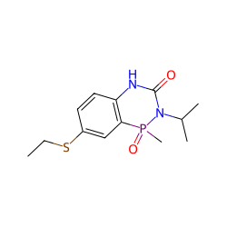 CCSc1ccc2c(c1)P(C)(=O)N(C(C)C)C(=O)N2